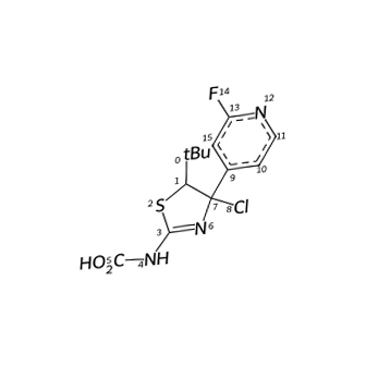 CC(C)(C)C1SC(NC(=O)O)=NC1(Cl)c1ccnc(F)c1